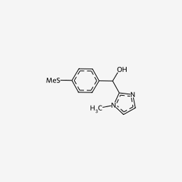 CSc1ccc(C(O)c2nccn2C)cc1